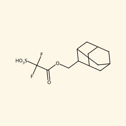 O=C(OCC1C2CC3CC(C2)CC1C3)C(F)(F)S(=O)(=O)O